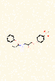 CCC(NCC(O)COc1ccc(S(C)(=O)=O)cc1)Oc1ccccc1